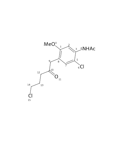 COc1cc(NC(C)=O)c(Cl)cc1CC(=O)CCCCl